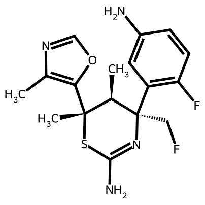 Cc1ncoc1[C@@]1(C)SC(N)=N[C@](CF)(c2cc(N)ccc2F)[C@@H]1C